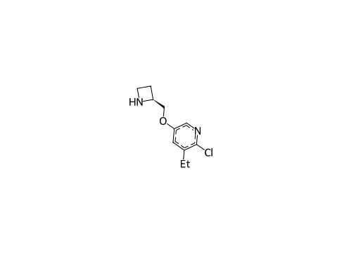 CCc1cc(OC[C@@H]2CCN2)cnc1Cl